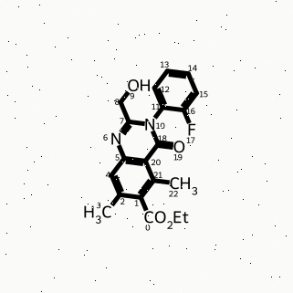 CCOC(=O)c1c(C)cc2nc(CO)n(-c3ccccc3F)c(=O)c2c1C